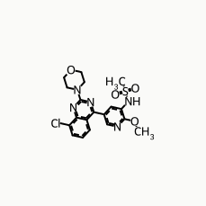 COc1ncc(-c2nc(N3CCOCC3)nc3c(Cl)cccc23)cc1NS(C)(=O)=O